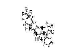 O=C(Nc1ccccc1Nc1cncc(Nc2ccc(C(F)(F)F)cc2)n1)C(F)(F)F